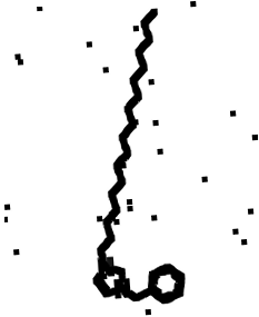 CCCCCCCCCCCCCCCCCCN1C=CN(Cc2ccccc2)C1